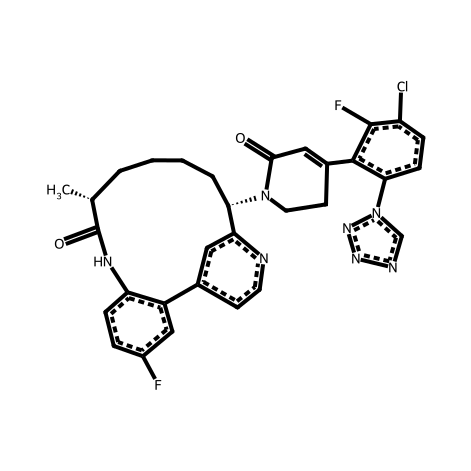 C[C@@H]1CCCC[C@H](N2CCC(c3c(-n4cnnn4)ccc(Cl)c3F)=CC2=O)c2cc(ccn2)-c2cc(F)ccc2NC1=O